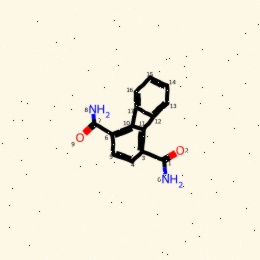 NC(=O)c1ccc(C(N)=O)c2c1-c1ccccc1-2